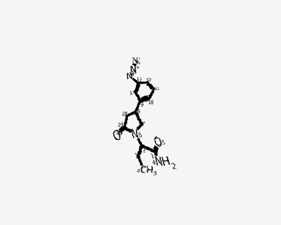 CCC(C(N)=O)N1CC(c2cccc(N=[N+]=[N-])c2)CC1=O